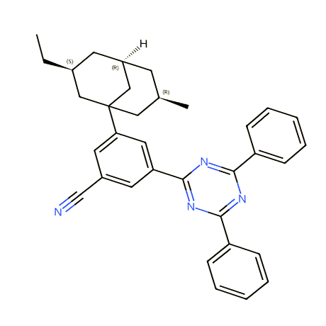 CC[C@H]1C[C@H]2C[C@@H](C)CC(c3cc(C#N)cc(-c4nc(-c5ccccc5)nc(-c5ccccc5)n4)c3)(C2)C1